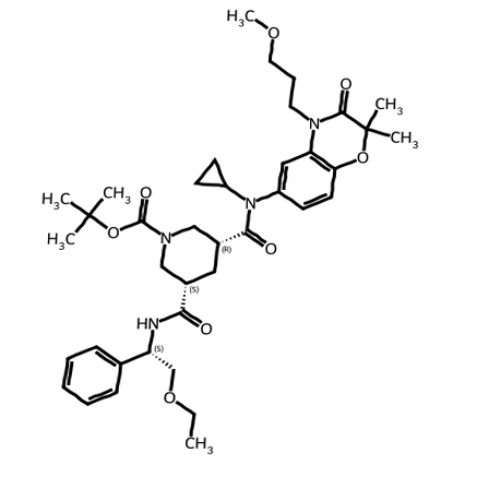 CCOC[C@@H](NC(=O)[C@H]1C[C@@H](C(=O)N(c2ccc3c(c2)N(CCCOC)C(=O)C(C)(C)O3)C2CC2)CN(C(=O)OC(C)(C)C)C1)c1ccccc1